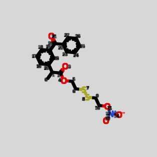 CC(C(=O)OCCSSCCO[N+](=O)[O-])c1cccc(C(=O)c2ccccc2)c1